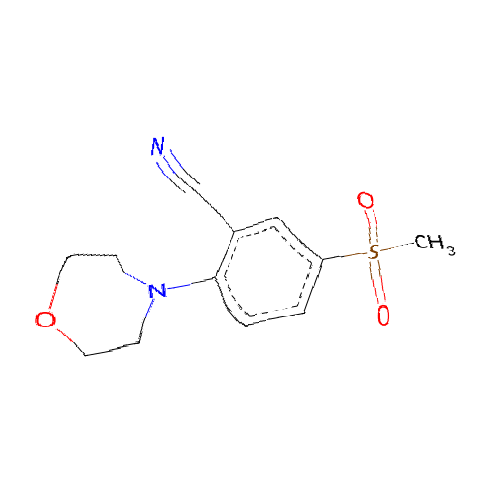 CS(=O)(=O)c1ccc(N2CCOCC2)c(C#N)c1